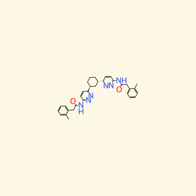 Cc1ccccc1CC(=O)Nc1ccc([C@H]2CCC[C@H](c3ccc(NC(=O)Cc4ccccc4C)nn3)C2)nn1